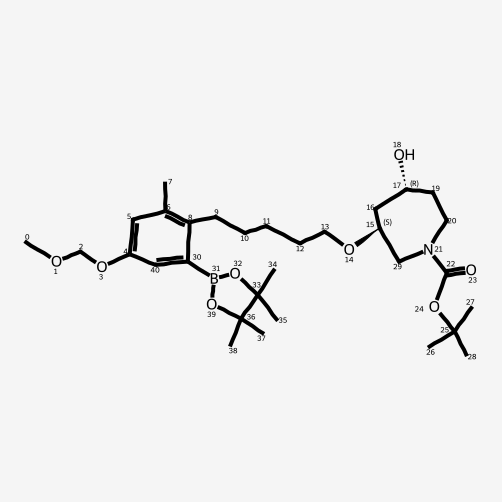 COCOc1cc(C)c(CCCCCO[C@H]2C[C@H](O)CCN(C(=O)OC(C)(C)C)C2)c(B2OC(C)(C)C(C)(C)O2)c1